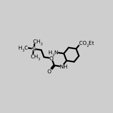 CCOC(=O)C1CCC(NC(=O)OCC[Si](C)(C)C)C(N)C1